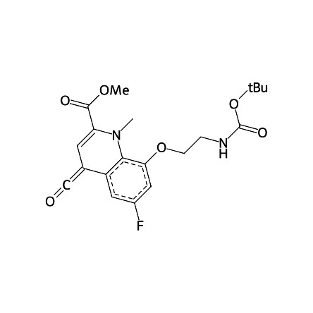 COC(=O)C1=CC(=C=O)c2cc(F)cc(OCCNC(=O)OC(C)(C)C)c2N1C